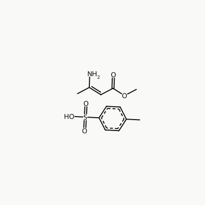 COC(=O)C=C(C)N.Cc1ccc(S(=O)(=O)O)cc1